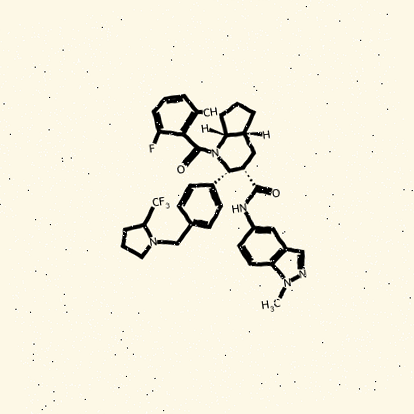 Cc1cccc(F)c1C(=O)N1[C@@H]2CCC[C@@H]2C[C@H](C(=O)Nc2ccc3c(cnn3C)c2)[C@@H]1c1ccc(CN2CCCC2C(F)(F)F)cc1